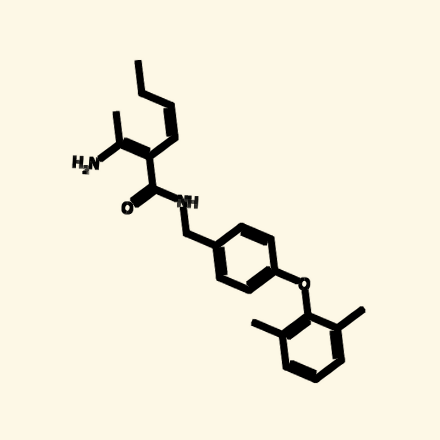 CC/C=C\C(C(=O)NCc1ccc(Oc2c(C)cccc2C)cc1)=C(/C)N